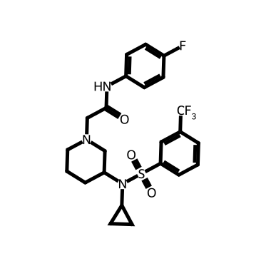 O=C(CN1CCCC(N(C2CC2)S(=O)(=O)c2cccc(C(F)(F)F)c2)C1)Nc1ccc(F)cc1